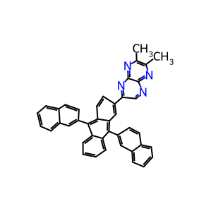 Cc1nc2ncc(-c3ccc4c(-c5ccc6ccccc6c5)c5ccccc5c(-c5ccc6ccccc6c5)c4c3)nc2nc1C